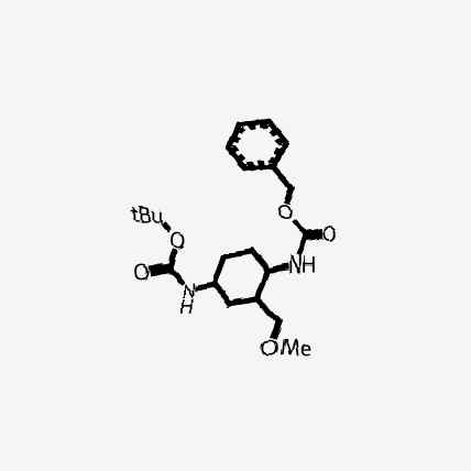 COCC1CC(NC(=O)OC(C)(C)C)CCC1NC(=O)OCc1ccccc1